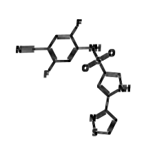 N#Cc1cc(F)c(NS(=O)(=O)c2c[nH]c(-c3ccsn3)c2)cc1F